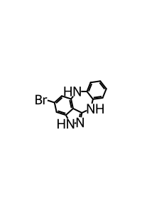 Brc1cc2c3c(n[nH]c3c1)Nc1ccccc1N2